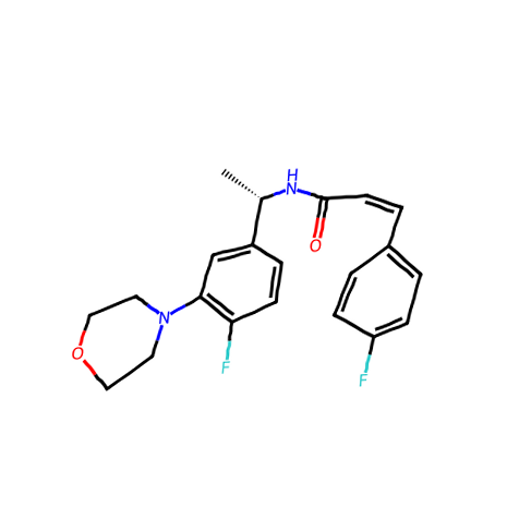 C[C@H](NC(=O)/C=C\c1ccc(F)cc1)c1ccc(F)c(N2CCOCC2)c1